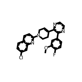 COc1cc(-c2nccnc2C2=CCN(c3ccc4ccc(Cl)cc4n3)CC2)ccc1F